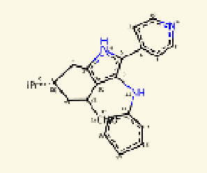 CC(C)[C@@H]1Cc2[nH]c(-c3ccncc3)c(Nc3ccccc3)c2C(C=O)C1